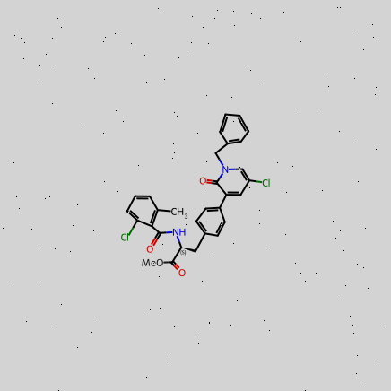 COC(=O)[C@H](Cc1ccc(-c2cc(Cl)cn(Cc3ccccc3)c2=O)cc1)NC(=O)c1c(C)cccc1Cl